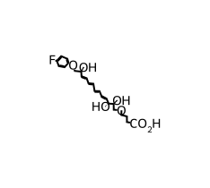 O=C(O)CCCOC[C@H](O)[C@H](O)C=CC=CC=CC=C[C@H](O)COc1ccc(F)cc1